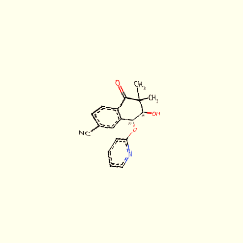 CC1(C)C(=O)c2ccc(C#N)cc2[C@@H](Oc2ccccn2)[C@@H]1O